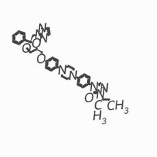 CC[C@@H](C)n1ncn(-c2ccc(N3CCN(c4ccc(OC[C@H]5CO[C@](Cn6nccn6)(c6ccccc6)O5)cc4)CC3)cc2)c1=O